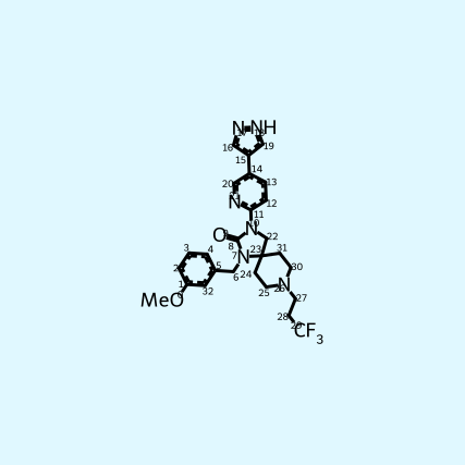 COc1cccc(CN2C(=O)N(c3ccc(-c4cn[nH]c4)cn3)CC23CCN(CCC(F)(F)F)CC3)c1